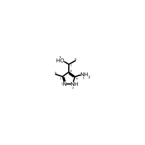 Cc1n[nH]c(N)c1C(C)O